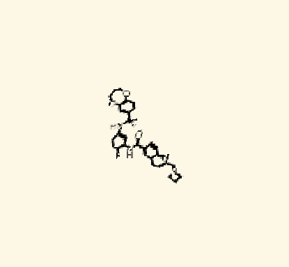 O=C(Nc1ccc(F)c(NC(=O)c2ccc3nc(CN4CCC4)ccc3c2)c1)c1ccc2c(c1)OCCCO2